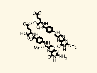 Nc1nc2ncc(CNc3ccc(C(=O)NC(CCC(=O)[O-])C(=O)O)cc3)nc2c(=O)[nH]1.Nc1nc2ncc(CNc3ccc(C(=O)NC(CCC(=O)[O-])C(=O)O)cc3)nc2c(=O)[nH]1.[Mn+2]